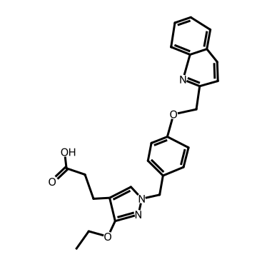 CCOc1nn(Cc2ccc(OCc3ccc4ccccc4n3)cc2)cc1CCC(=O)O